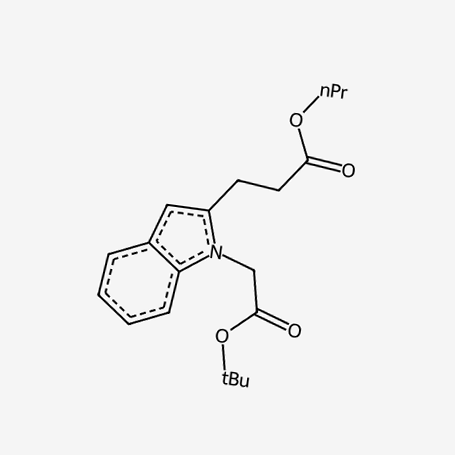 CCCOC(=O)CCc1cc2ccccc2n1CC(=O)OC(C)(C)C